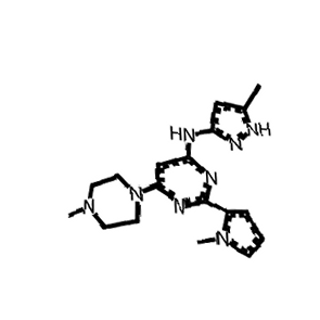 Cc1cc(Nc2cc(N3CCN(C)CC3)nc(-c3cccn3C)n2)n[nH]1